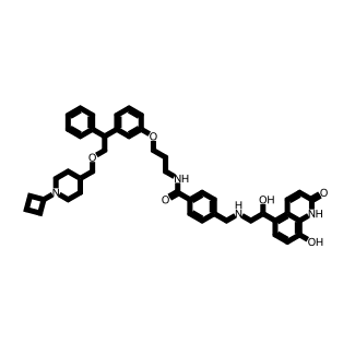 O=C(NCCCOc1cccc(C(COCC2CCN(C3CCC3)CC2)c2ccccc2)c1)c1ccc(CNCC(O)c2ccc(O)c3[nH]c(=O)ccc23)cc1